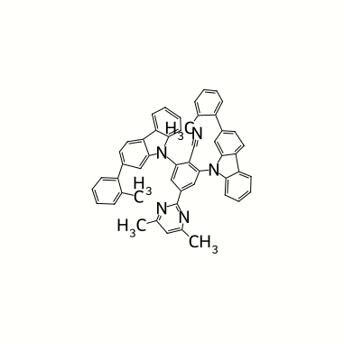 Cc1cc(C)nc(-c2cc(-n3c4ccccc4c4ccc(-c5ccccc5C)cc43)c(C#N)c(-n3c4ccccc4c4ccc(-c5ccccc5C)cc43)c2)n1